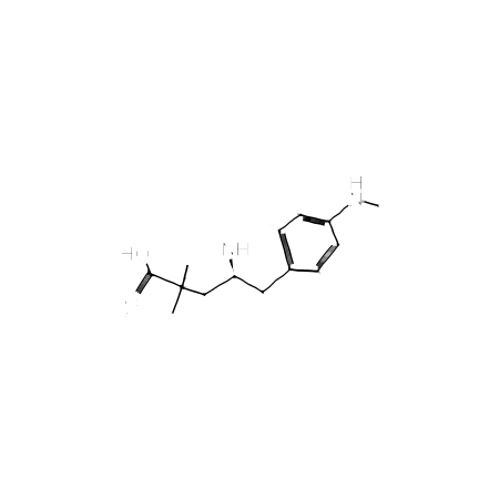 CNc1ccc(C[C@H](N)CC(C)(C)C(=O)O)cc1